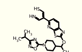 CC(C)c1noc(N2CCC(C(C)Oc3nc4ccc(/C(C=N)=C/S)nc4s3)CC2)n1